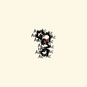 CCN(CCN(CCN(CCN(CCN(CCN(CCN(CCN(CCN(CCN(CCN(CCN(CCN(CCN(CCN(CCN(CCN(CCN(CCN(CCN(O)C(C)=O)C(C)=O)C(C)=O)C(C)=O)C(C)=O)C(C)=O)C(C)=O)C(C)=O)C(C)=O)C(C)=O)C(C)=O)C(C)=O)C(C)=O)C(C)=O)C(C)=O)C(C)=O)C(C)=O)C(C)=O)C(C)=O)C(C)=O